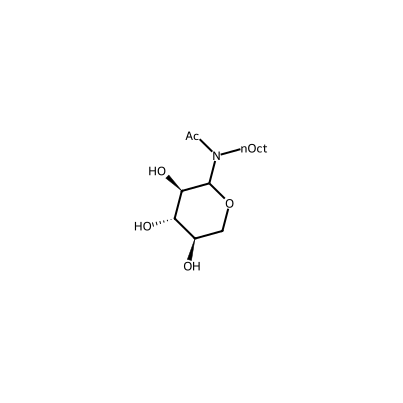 CCCCCCCCN(C(C)=O)C1OC[C@@H](O)[C@H](O)[C@H]1O